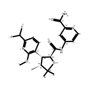 COc1nc(C(F)F)ccc1[C@@H]1[C@@H](C(=O)Nc2ccnc(C(N)=O)c2)OC(C)(C)[C@@H]1C